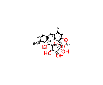 Cc1cc2c(cc1Cc1ccc(C(C)C)cc1)[C@]1(OCO2)O[C@H](CO)[C@@H](O)[C@H](O)[C@H]1O